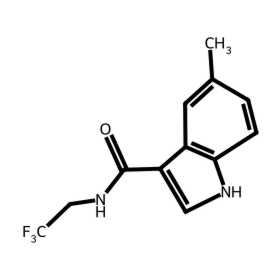 Cc1ccc2[nH]cc(C(=O)NCC(F)(F)F)c2c1